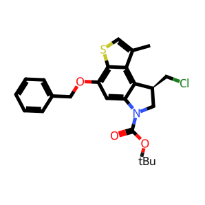 Cc1csc2c(OCc3ccccc3)cc3c(c12)[C@@H](CCl)CN3C(=O)OC(C)(C)C